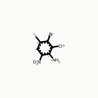 Nc1c([N+](=O)[O-])cc(I)c(Br)c1Cl